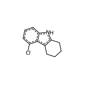 Clc1cccc2[nH]c3c(c12)CCCC3